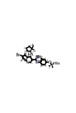 CCc1cc(O[Si](C)(C)C(C)(C)C)ccc1/N=C(\N)c1cnn2cc(Br)cc2c1NC1CCCC1(C)C